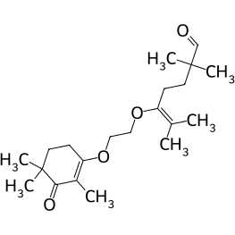 CC(C)=C(CCC(C)(C)C=O)OCCOC1=C(C)C(=O)C(C)(C)CC1